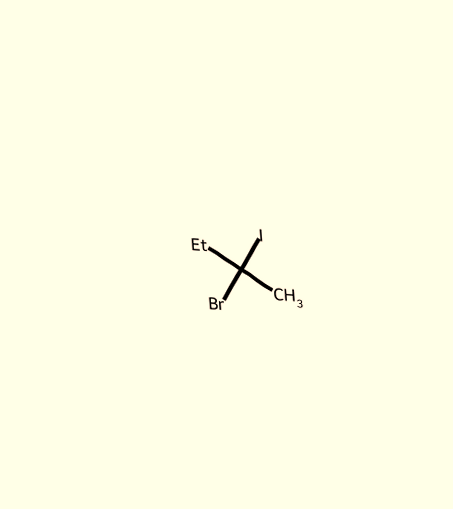 CCC(C)(Br)I